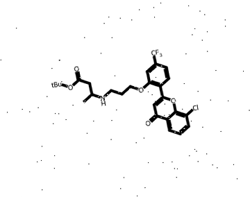 CC(CC(=O)OC(C)(C)C)NCCCOc1cc(C(F)(F)F)ccc1-c1cc(=O)c2cccc(Cl)c2o1